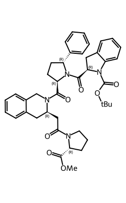 COC(=O)[C@H]1CCCN1C(=O)C[C@H]1Cc2ccccc2CN1C(=O)[C@H]1CC[C@H](c2ccccc2)N1C(=O)[C@H]1Cc2ccccc2N1C(=O)OC(C)(C)C